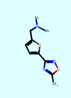 CC(=O)N(Cc1ccc(-c2noc(C(F)(F)F)n2)s1)C(C)C